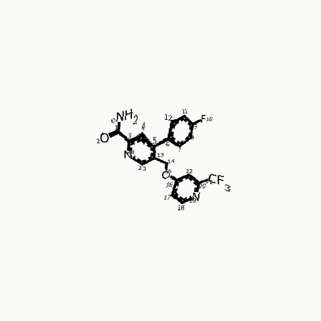 NC(=O)c1cc(-c2ccc(F)cc2)c(COc2ccnc(C(F)(F)F)c2)cn1